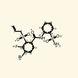 C=CCS(=O)(=O)c1c(C(=O)Nc2ccccc2S(N)(=O)=O)ccc(Br)c1F